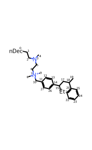 CCCCCCCCCCCCN(C)CC[N+](C)(C)Cc1ccc(C(CC)CC(C)c2ccccc2)cc1